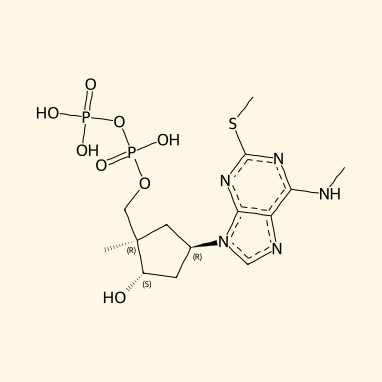 CNc1nc(SC)nc2c1ncn2[C@H]1C[C@H](O)[C@@](C)(COP(=O)(O)OP(=O)(O)O)C1